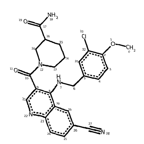 COc1ccc(CNc2c(C(=O)N3CCCC(C(N)=O)C3)cnc3ccc(C#N)cc23)cc1Cl